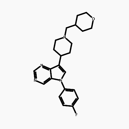 Fc1ccc(-n2cc(C3CCN(CC4CCOCC4)CC3)c3ncncc32)cc1